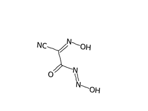 N#CC(=NO)C(=O)N=NO